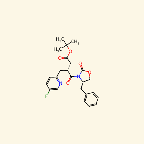 CC(C)(C)OC(=O)C[C@@H](Cc1ccc(F)cn1)C(=O)N1C(=O)OC[C@H]1Cc1ccccc1